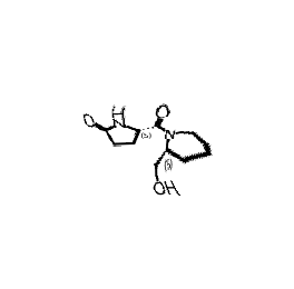 O=C1CC[C@@H](C(=O)N2CCC[C@H]2CO)N1